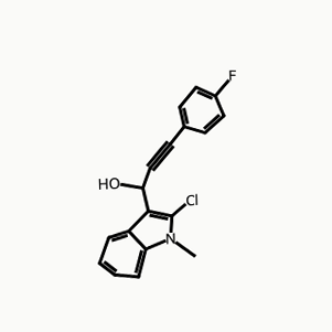 Cn1c(Cl)c(C(O)C#Cc2ccc(F)cc2)c2ccccc21